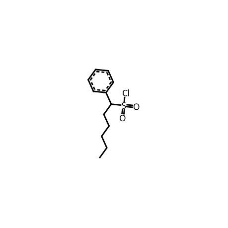 CCCCCC(c1ccccc1)S(=O)(=O)Cl